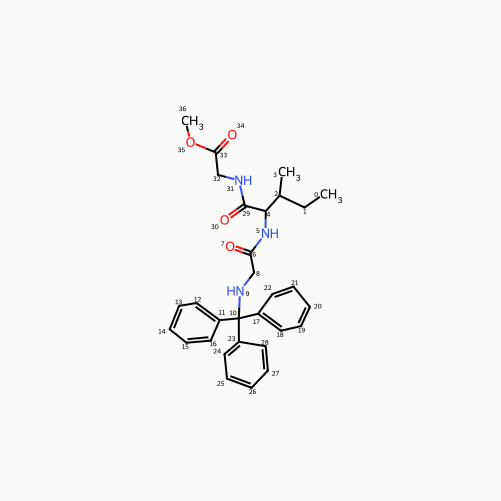 CCC(C)C(NC(=O)CNC(c1ccccc1)(c1ccccc1)c1ccccc1)C(=O)NCC(=O)OC